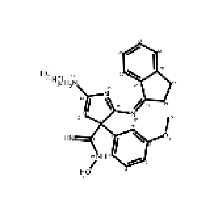 COc1cccc(C2(C(=N)NO)N=C(N)N=C2N=C2CCc3ccccc32)c1.Cl.Cl